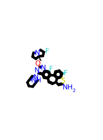 NC1=CC2C=Cc3cc4c(N5CC6CCCC(C5)N6)nc(OC[C@@]56CCCN5C[C@H](F)C6)nc4c(F)c3-c3ccc(F)c(c32)S1